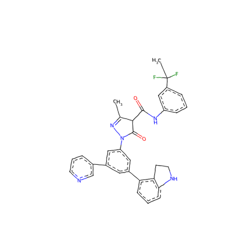 CC1=NN(c2cc(-c3cccnc3)cc(-c3cccc4c3CCN4)c2)C(=O)C1C(=O)Nc1cccc(C(C)(F)F)c1